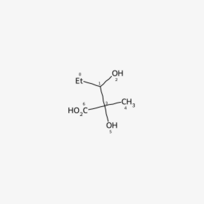 CCC(O)C(C)(O)C(=O)O